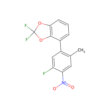 Cc1cc([N+](=O)[O-])c(F)cc1-c1cccc2c1OC(F)(F)O2